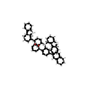 c1ccc(-c2ccc(-c3ccc4ccccc4c3)cc2N(c2ccc(-c3cccc4c3sc3ccccc34)cc2)c2cccc3oc4ccccc4c23)cc1